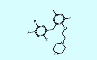 Cc1cc(C)c(OCCN2CCOCC2)c(Cc2cc(F)c(F)cc2F)c1